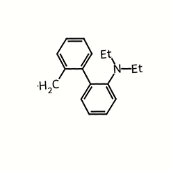 [CH2]c1ccccc1-c1ccccc1N(CC)CC